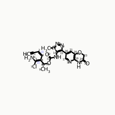 C#C/C=C\C(=C(/N)Cl)[C@@H](C)OC(=O)Nc1c(-c2cnc3c(c2)OCC(=O)N3)nnn1C